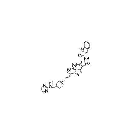 COc1cc(-c2csc3c(C=CCN4CCC(CNc5ncccn5)CC4)cnc(N)c23)ccc1NC(=O)c1cc2ccccc2n1C